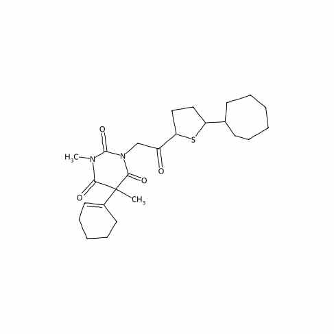 CN1C(=O)N(CC(=O)C2CCC(C3CCCCCC3)S2)C(=O)C(C)(C2=CCCCC2)C1=O